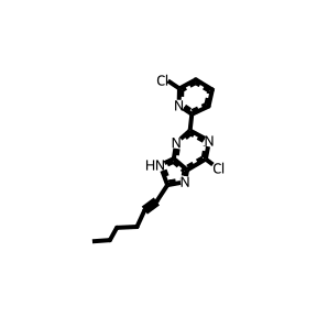 CCCCC#Cc1nc2c(Cl)nc(-c3cccc(Cl)n3)nc2[nH]1